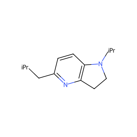 CC(C)Cc1ccc2c(n1)CCN2C(C)C